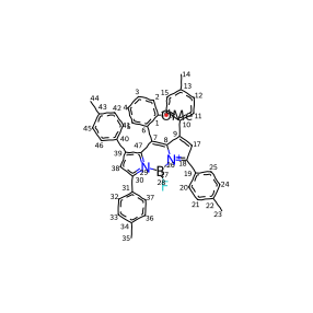 COc1ccccc1C1=C2C(c3ccc(C)cc3)=CC(c3ccc(C)cc3)=[N+]2B(F)n2c(-c3ccc(C)cc3)cc(-c3ccc(C)cc3)c21